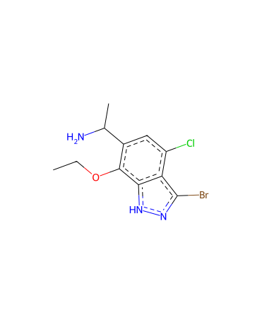 CCOc1c(C(C)N)cc(Cl)c2c(Br)n[nH]c12